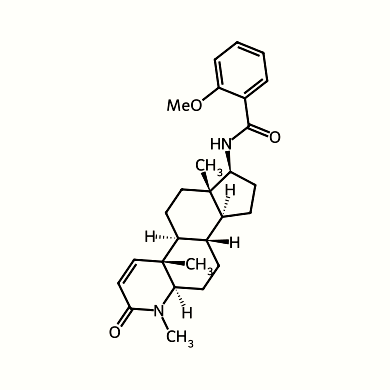 COc1ccccc1C(=O)N[C@H]1CC[C@H]2[C@@H]3CC[C@H]4N(C)C(=O)C=C[C@]4(C)[C@H]3CC[C@]12C